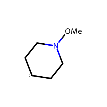 CON1CC[C]CC1